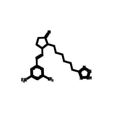 O=C1CCC(/C=C/c2cc(C(F)(F)F)cc(C(F)(F)F)c2)C1CCCCCCc1nn[nH]n1